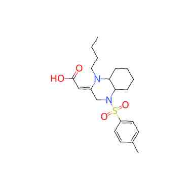 CCCCN1C(=CC(=O)O)CN(S(=O)(=O)c2ccc(C)cc2)C2CCCCC21